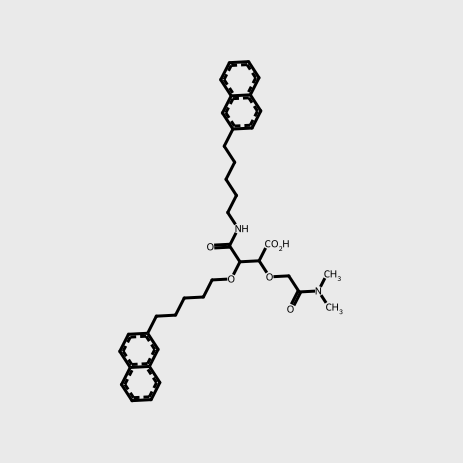 CN(C)C(=O)COC(C(=O)O)C(OCCCCCc1ccc2ccccc2c1)C(=O)NCCCCCc1ccc2ccccc2c1